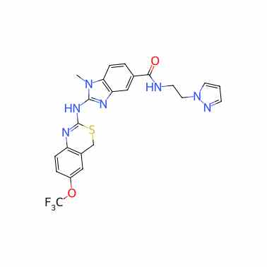 Cn1c(NC2=Nc3ccc(OC(F)(F)F)cc3CS2)nc2cc(C(=O)NCCn3cccn3)ccc21